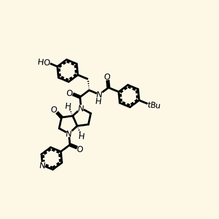 CC(C)(C)c1ccc(C(=O)N[C@@H](Cc2ccc(O)cc2)C(=O)N2CC[C@@H]3[C@H]2C(=O)CN3C(=O)c2ccncc2)cc1